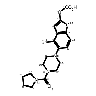 O=C(O)Oc1cc2c(Br)c(N3CCN(C(=O)N4CCCC4)CC3)ccc2o1